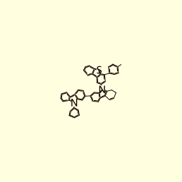 Cc1ccc(-c2cc(-n3c4c(c5ccc(-c6ccc7c8ccccc8n(-c8ccccc8)c7c6)cc53)C=CCC4)cc3c2sc2ccccc23)cc1